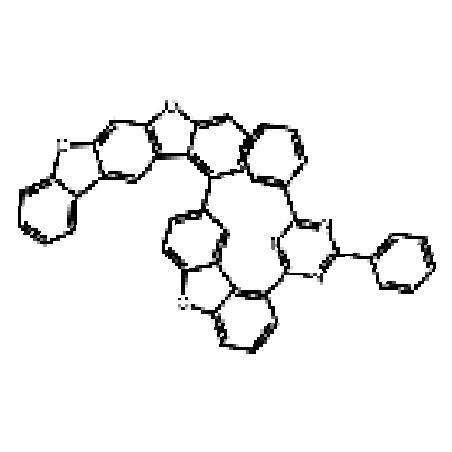 c1ccc(-c2nc(-c3ccccc3)nc(-c3cccc4oc5ccc(-c6cccc7oc8cc9oc%10ccccc%10c9cc8c67)cc5c34)n2)cc1